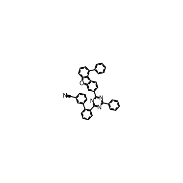 N#Cc1cccc(-c2ccccc2-c2nc(-c3ccccc3)nc(-c3ccc4c(c3)oc3cccc(-c5ccccc5)c34)n2)c1